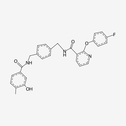 Cc1ccc(C(=O)NCc2ccc(CNC(=O)c3cccnc3Oc3ccc(F)cc3)cc2)cc1O